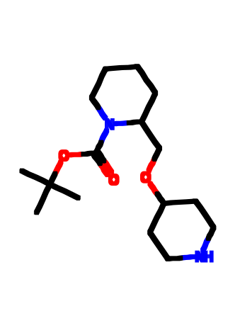 CC(C)(C)OC(=O)N1CCCCC1COC1CCNCC1